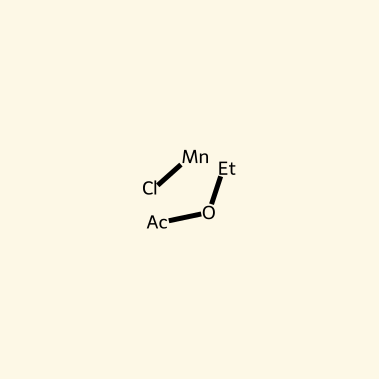 CCOC(C)=O.[Cl][Mn]